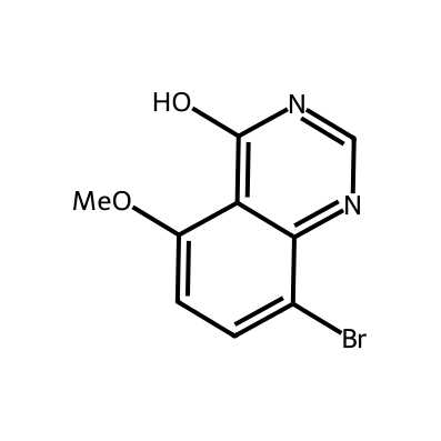 COc1ccc(Br)c2ncnc(O)c12